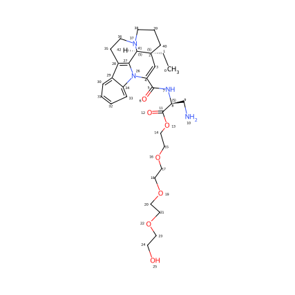 CC[C@@]12C=C(C(=O)N[C@@H](CN)C(=O)OCCOCCOCCOCCO)n3c4c(c5ccccc53)CCN(CCC1)[C@H]42